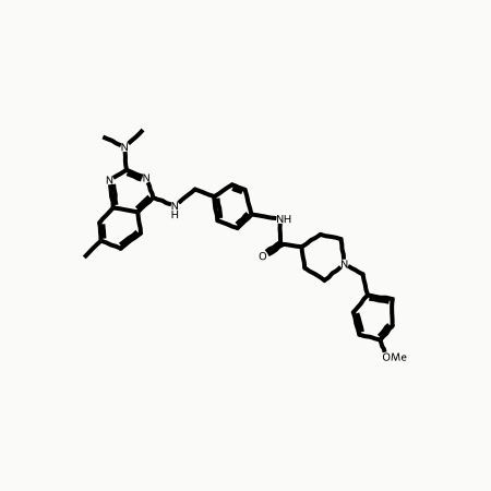 COc1ccc(CN2CCC(C(=O)Nc3ccc(CNc4nc(N(C)C)nc5cc(C)ccc45)cc3)CC2)cc1